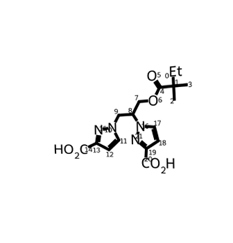 CCC(C)(C)C(=O)OCC(Cn1ccc(C(=O)O)n1)n1ccc(C(=O)O)n1